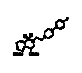 COc1cccc2c1C(OC)CN(CCN1CCN(c3ccc(F)cc3)CC1)S2(=O)=O